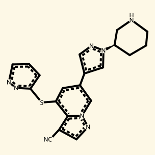 N#Cc1cnn2cc(-c3cnn([C@@H]4CCCNC4)c3)cc(Sc3cccnn3)c12